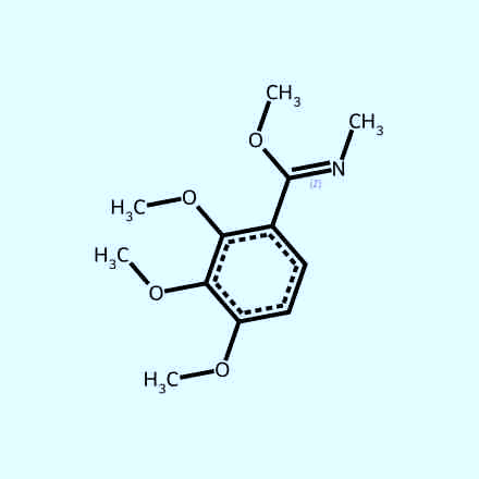 C/N=C(\OC)c1ccc(OC)c(OC)c1OC